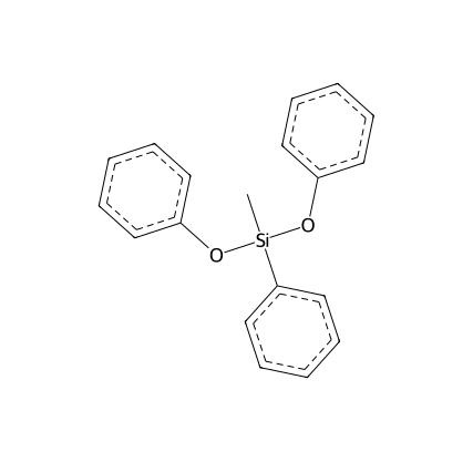 C[Si](Oc1ccccc1)(Oc1ccccc1)c1ccccc1